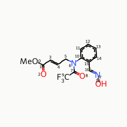 COC(=O)/C=C/CN(C(=O)C(F)(F)F)c1ccccc1/C=N/O